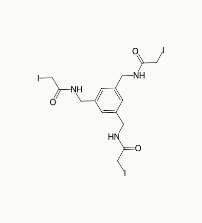 O=C(CI)NCc1cc(CNC(=O)CI)cc(CNC(=O)CI)c1